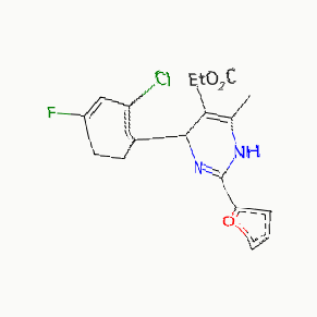 CCOC(=O)C1=C(C)NC(c2ccco2)=NC1C1=C(Cl)C=C(F)CC1